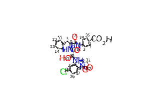 O=C(O)c1ccc(NC(=O)[C@H](Cc2ccccc2)NC(=O)[C@H](O)Nc2cc(Cl)ccc2N2CCOO2)cc1